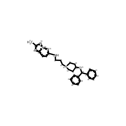 Cc1nc2ccc(NCCCN3CCC(OC(c4ccccc4)c4ccccc4)CC3)nn2n1